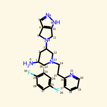 NC1CC(N2Cc3cn[nH]c3C2)CN(CCc2ccccn2)[C@@H]1c1cc(F)ccc1F